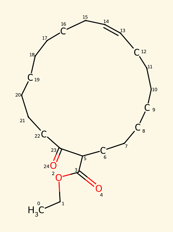 CCOC(=O)C1CCCCCCC/C=C\CCCCCCCCC1=O